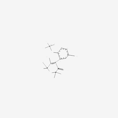 CC1(C)OC(C)(C)C(O)=C(c2cc(Br)ccc2OC(F)(F)F)C1=O